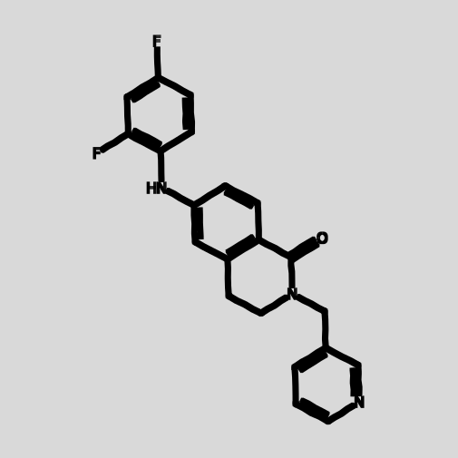 O=C1c2ccc(Nc3ccc(F)cc3F)cc2CCN1Cc1cccnc1